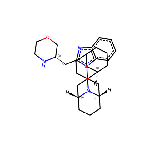 c1ccc2c(c1)nc(C[C@H]1COCCN1)n2C1C[C@H]2CCC[C@@H](C1)N2C1CCC2CCC[C@@H]1C2